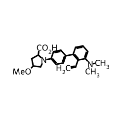 C=Cc1c(-c2ccc(N3CC(OC)CC3C(=O)O)cc2)cccc1N(C)C